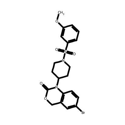 COc1cccc(S(=O)(=O)N2CCC(N3C(=O)OCc4cc(Br)ccc43)CC2)c1